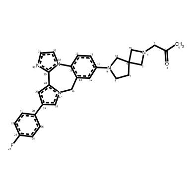 CC(=O)CN1CC2(CCN(c3ccc4c(c3)Cn3cc(-c5ccc(F)cc5)cc3-c3nccn3-4)C2)C1